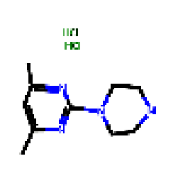 Cc1cc(C)nc(N2CCNCC2)n1.Cl.Cl